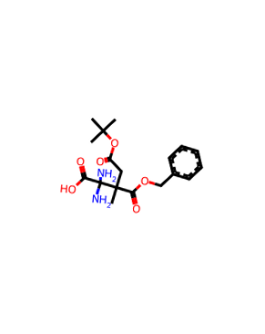 CC(C)(C)OC(=O)CC(C)(C(=O)OCc1ccccc1)C(N)(N)C(=O)O